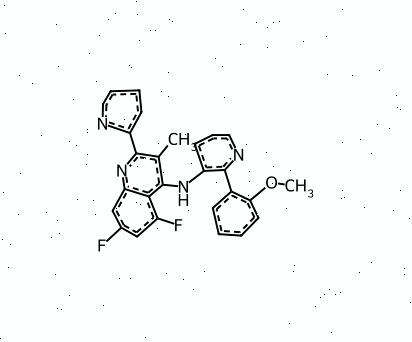 COc1ccccc1-c1ncccc1Nc1c(C)c(-c2ccccn2)nc2cc(F)cc(F)c12